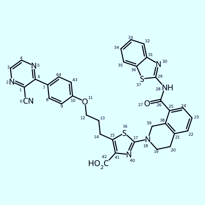 N#Cc1nccnc1-c1ccc(OCCCc2sc(N3CCc4cccc(C(=O)Nc5nc6ccccc6s5)c4C3)nc2C(=O)O)cc1